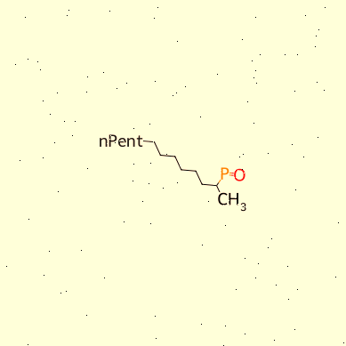 CCCCCCCCCCCC(C)P=O